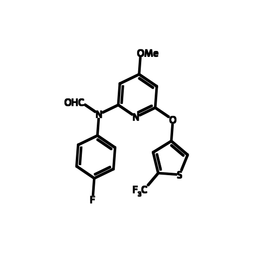 COc1cc(Oc2csc(C(F)(F)F)c2)nc(N(C=O)c2ccc(F)cc2)c1